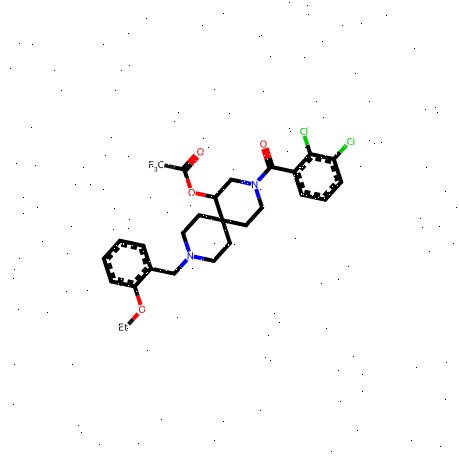 CCOc1ccccc1CN1CCC2(CC1)CCN(C(=O)c1cccc(Cl)c1Cl)CC2OC(=O)C(F)(F)F